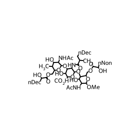 CCCCCCCCCCCC(C)C(=O)NC1C(OC2C(COC(=O)C(O)CCCCCCCCC)OC(OC)C(NC(C)=O)C2O)OC(C(=O)O)C(O)C1OC1OC(COC(=O)C(O)CCCCCCCCCC)C(C)C(O)C1NC(C)=O